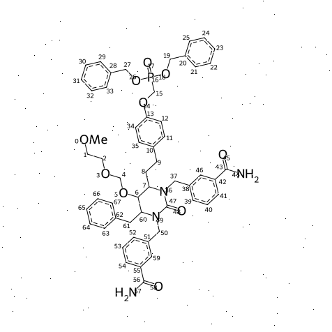 COCCOCOC1C(CCc2ccc(OCP(=O)(OCc3ccccc3)OCc3ccccc3)cc2)N(Cc2cccc(C(N)=O)c2)C(=O)N(Cc2cccc(C(N)=O)c2)C1Cc1ccccc1